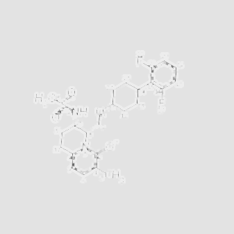 Cc1ccc2n(c1=O)[C@@H](COC1CCC(c3c(F)cccc3F)CC1)[C@@H](NS(C)(=O)=O)CC2